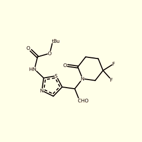 CC(C)(C)OC(=O)Nc1ncc(C(C=O)N2CC(F)(F)CCC2=O)s1